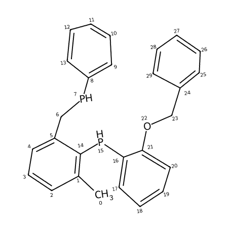 Cc1cccc(CPc2ccccc2)c1Pc1ccccc1OCc1ccccc1